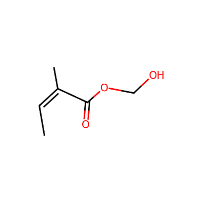 CC=C(C)C(=O)OCO